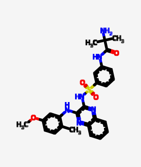 COc1ccc(C)c(Nc2nc3ccccc3nc2NS(=O)(=O)c2cccc(NC(=O)C(C)(C)N)c2)c1